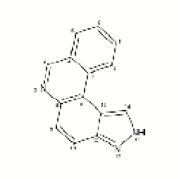 c1ccc2c(c1)cnc1ccc3n[nH]cc3c12